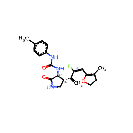 C=C(/C(F)=C\C1=C(C)CCO1)[C@@H]1CNC(=O)[C@H]1NC(=O)Nc1ccc(C)cc1